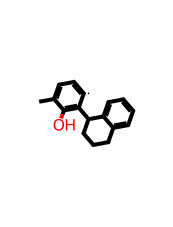 Cc1cc[c]c(C2CCCc3ccccc32)c1O